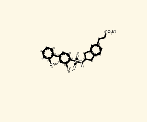 CCOC(=O)CCc1ccc2c(c1)CC(NS(=O)(=O)c1ccc(-c3ccccc3OC)cc1C(F)(F)F)C2